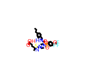 CCCc1ccc(CNC(=O)[C@H]2CN(c3nc(C)c(CCC(=O)O)s3)CCN2S(=O)(=O)c2ccc(OC(F)(F)F)cc2)cc1